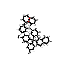 Fc1ccc(C2(c3ccc(F)cc3)c3cc(N(c4ccccc4)c4ccccc4-c4ccccc4)ccc3-c3c2ccc2ccccc32)cc1